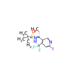 CC[C@@H](N[S@@+]([O-])C(C)(C)C)c1cnc(I)cc1C(F)(F)F